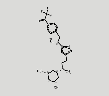 C[C@@H]1C[C@H](N(C)CCc2cn([C@H](CO)Cc3ccc(C(=O)C(F)(F)F)cc3)nn2)C[C@H](O)O1